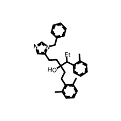 CCC(c1ccccc1C)C(O)(CCc1c(C)cccc1C)CCc1cncn1Cc1ccccc1